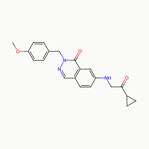 COc1ccc(Cn2ncc3ccc(NCC(=O)C4CC4)cc3c2=O)cc1